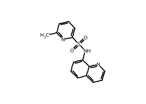 Cc1cccc(S(=O)(=O)Nc2cccc3cccnc23)n1